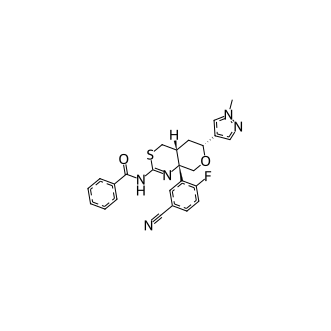 Cn1cc([C@H]2C[C@H]3CSC(NC(=O)c4ccccc4)=N[C@@]3(c3cc(C#N)ccc3F)CO2)cn1